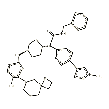 Cn1cc(-c2ccc(N(C(=O)NCc3ccccc3)[C@H]3CC[C@H](Nc4ncc(C#N)c(N5CCCC6(CCO6)C5)n4)CC3)nc2)cn1